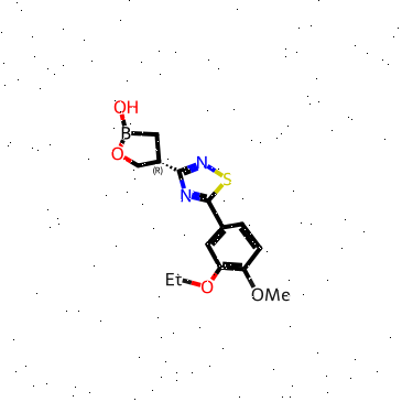 CCOc1cc(-c2nc([C@@H]3COB(O)C3)ns2)ccc1OC